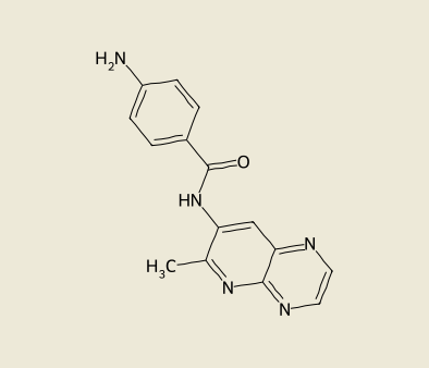 Cc1nc2nccnc2cc1NC(=O)c1ccc(N)cc1